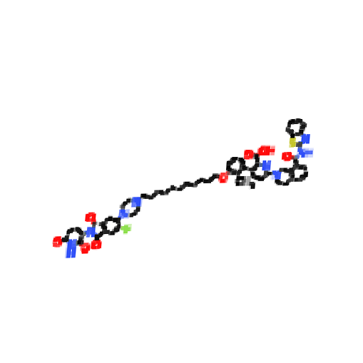 Cc1c(OCCCCCCCCCCCN2CCN(c3cc4c(cc3F)C(=O)N(C3CCC(=O)NC3=O)C4=O)CC2)cccc1-c1ccc(N2CCc3cccc(C(=O)Nc4nc5ccccc5s4)c3C2)nc1C(=O)O